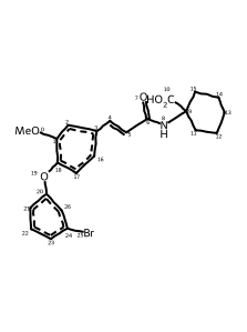 COc1cc(C=CC(=O)NC2(C(=O)O)CCCCC2)ccc1Oc1cccc(Br)c1